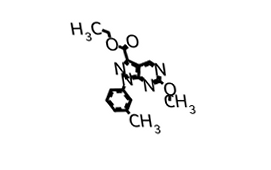 CCOC(=O)c1nn(-c2cccc(C)c2)c2nc(OC)ncc12